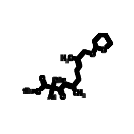 CC(=O)OC(C(C)=O)(C(=O)C=C(C)CCC=C(C)COC1CCCCO1)C(=O)OC(C)(C)C